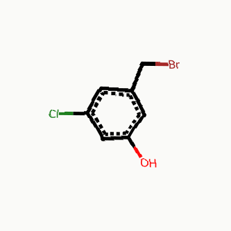 Oc1cc(Cl)cc(CBr)c1